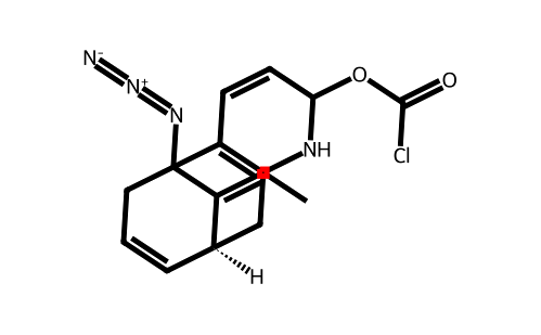 C/C=C1\[C@@H]2C=CCC1(N=[N+]=[N-])C1=C(C2)NC(OC(=O)Cl)C=C1